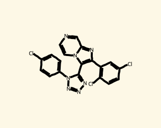 Clc1ccc(-n2nnnc2-c2c(-c3cc(Cl)ccc3Cl)nc3cnccn23)cc1